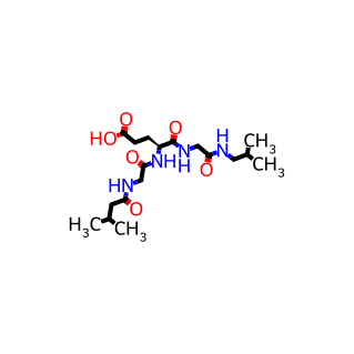 CC(C)CNC(=O)CNC(=O)[C@H](CCC(=O)O)NC(=O)CNC(=O)CC(C)C